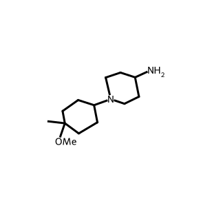 COC1(C)CCC(N2CCC(N)CC2)CC1